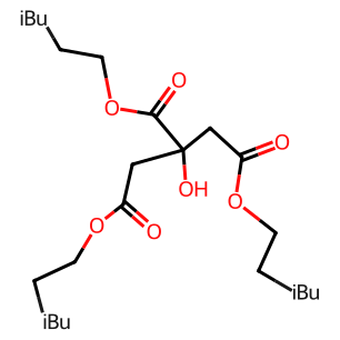 CCC(C)CCOC(=O)CC(O)(CC(=O)OCCC(C)CC)C(=O)OCCC(C)CC